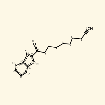 C#CCCCCCCCC(=O)c1nc2ncccc2o1